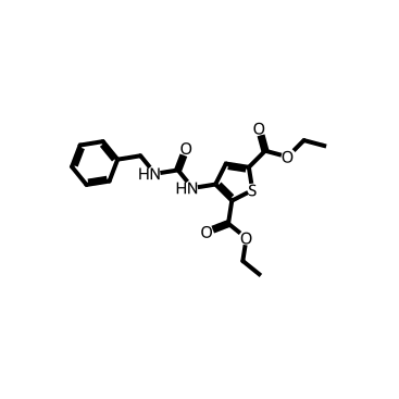 CCOC(=O)c1cc(NC(=O)NCc2ccccc2)c(C(=O)OCC)s1